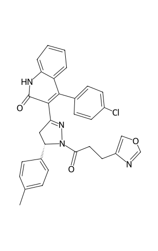 Cc1ccc([C@@H]2CC(c3c(-c4ccc(Cl)cc4)c4ccccc4[nH]c3=O)=NN2C(=O)CCc2cocn2)cc1